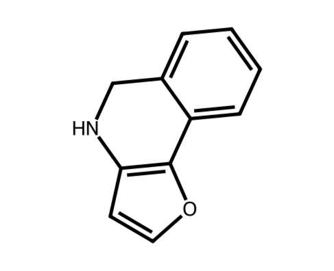 c1ccc2c(c1)CNc1ccoc1-2